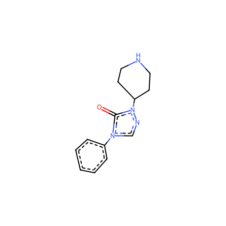 O=c1n(-c2ccccc2)cnn1C1CCNCC1